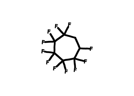 FC1CC(F)(F)C(F)(F)C(F)(F)C(F)(F)C1(F)F